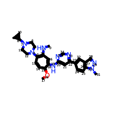 CNC1=C(N2CCN(C3CC3)CC2)C=CC(OC)C(Nc2cc(-c3ccc4c(cnn4C)c3)ncn2)=C1